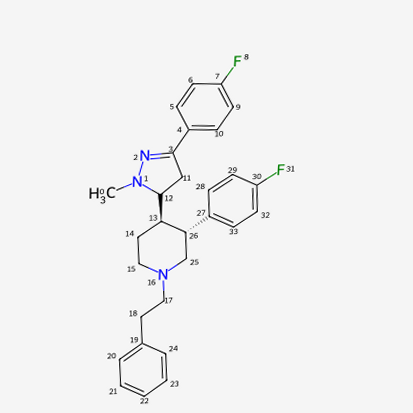 CN1N=C(c2ccc(F)cc2)CC1[C@@H]1CCN(CCc2ccccc2)C[C@H]1c1ccc(F)cc1